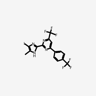 Cc1[nH]c(-c2nc(-c3ccc(C(F)(F)F)cc3)cc(C(F)(F)F)n2)nc1I